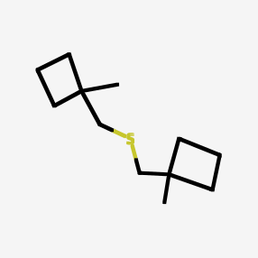 CC1(CSCC2(C)CCC2)CCC1